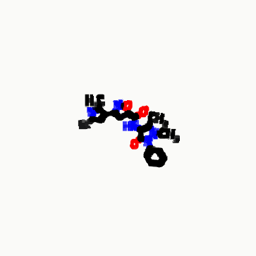 CCC1C=C(C2=NOC(C(=O)Nc3c(C)n(C)n(-c4ccccc4)c3=O)C2)C(C)=N1